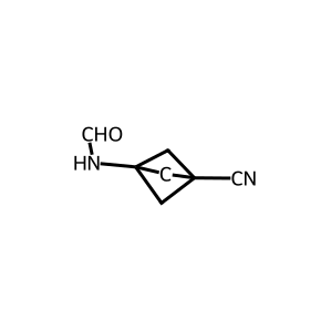 N#CC12CC(NC=O)(C1)C2